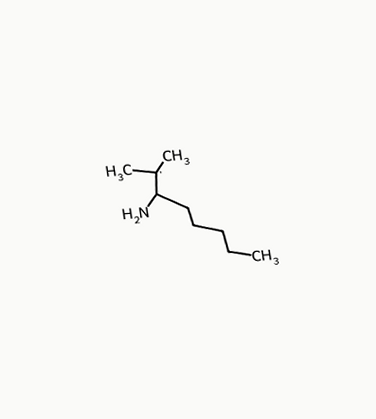 CCCCCC(N)[C](C)C